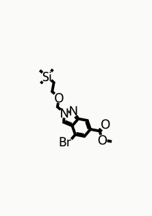 COC(=O)c1cc(Br)c2cn(COCC[Si](C)(C)C)nc2c1